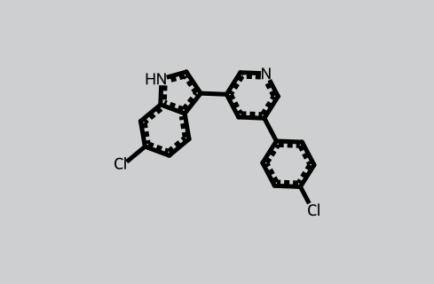 Clc1ccc(-c2cncc(-c3c[nH]c4cc(Cl)ccc34)c2)cc1